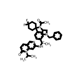 CC(=O)N(C1CN(Cc2ccccc2)C1)C1(c2ccc([C@H](C)Nc3cc4c(ccc(=O)n4C(C)C)cn3)cc2)CCC(F)(F)CC1